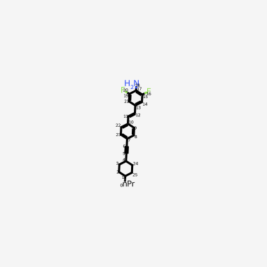 CCCC1CCC(C#Cc2ccc(/C=C/c3cc(F)c(N)c(F)c3)cc2)CC1